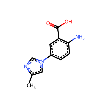 Cc1cn(-c2ccc(N)c(C(=O)O)c2)cn1